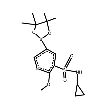 COc1ncc(B2OC(C)(C)C(C)(C)O2)cc1S(=O)(=O)NC1CC1